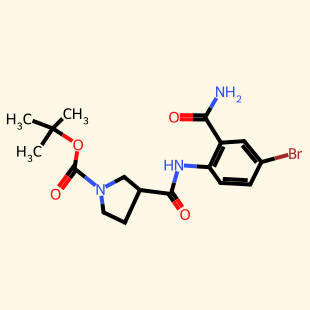 CC(C)(C)OC(=O)N1CCC(C(=O)Nc2ccc(Br)cc2C(N)=O)C1